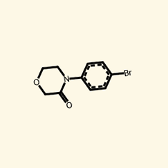 O=C1COCCN1c1ccc(Br)cc1